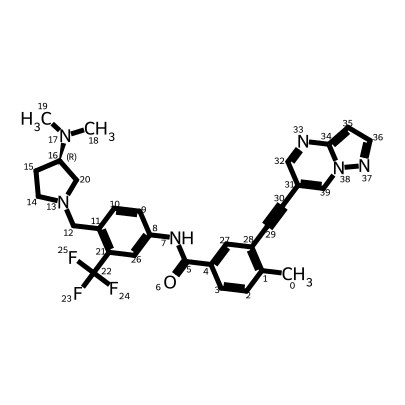 Cc1ccc(C(=O)Nc2ccc(CN3CC[C@@H](N(C)C)C3)c(C(F)(F)F)c2)cc1C#Cc1cnc2ccnn2c1